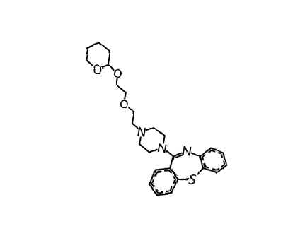 c1ccc2c(c1)N=C(N1CCN(CCOCCOC3CCCCO3)CC1)c1ccccc1S2